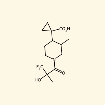 CC1CN(C(=O)C(C)(O)C(F)(F)F)CCC1C1(C(=O)O)CC1